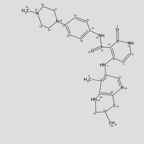 Cc1c(Nc2cc[nH]c(=O)c2C(=O)Nc2ccc(N3CCN(C)CC3)cc2)cnc2c1NCC(C)S2